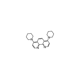 c1cc(N2CCCCC2)c2ccc3c(N4CCCCC4)ccnc3c2n1